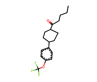 CCCCC(=O)C1CCC(c2ccc(OC(F)(F)F)cc2)CC1